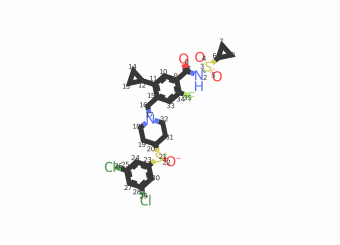 O=C(NS(=O)(=O)C1CC1)c1cc(C2CC2)c(CN2CCC([S+]([O-])c3cc(Cl)cc(Cl)c3)CC2)cc1F